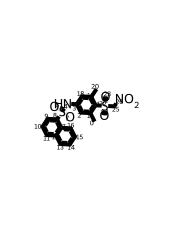 Cc1cc(NS(=O)(=O)c2cccc3ccccc23)cc(C)c1S(=O)(=O)C[N+](=O)[O-]